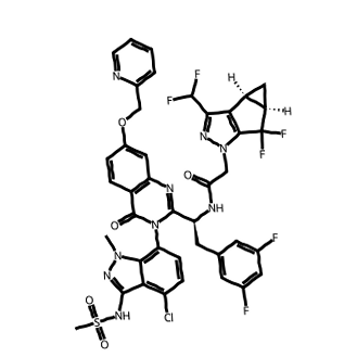 Cn1nc(NS(C)(=O)=O)c2c(Cl)ccc(-n3c([C@H](Cc4cc(F)cc(F)c4)NC(=O)Cn4nc(C(F)F)c5c4C(F)(F)[C@@H]4C[C@H]54)nc4cc(OCc5ccccn5)ccc4c3=O)c21